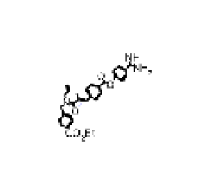 C=CCN(Cc1ccc(C(=O)OCC)cc1)C(=O)/C(C)=C/c1ccc(C(=O)Oc2ccc(C(=N)N)cc2)cc1